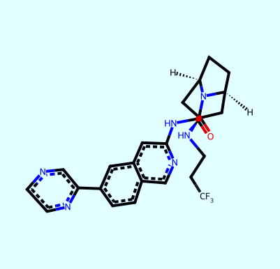 O=C(Nc1cc2cc(-c3cnccn3)ccc2cn1)N1[C@@H]2CC[C@H]1C[C@@H](NCCC(F)(F)F)C2